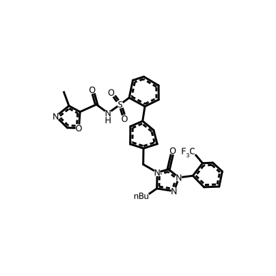 CCCCc1nn(-c2ccccc2C(F)(F)F)c(=O)n1Cc1ccc(-c2ccccc2S(=O)(=O)NC(=O)c2ocnc2C)cc1